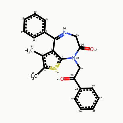 Cc1sc2c(c1C)C(c1ccccc1)=NCC(=O)N2CC(=O)c1ccccc1